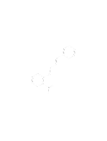 O=C(O)c1ccccc1NCC=Cc1ccccc1